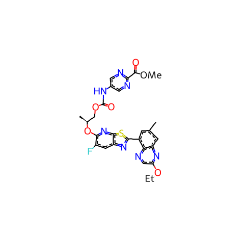 CCOc1cnc2c(-c3nc4cc(F)c(O[C@@H](C)COC(=O)Nc5cnc(C(=O)OC)nc5)nc4s3)cc(C)cc2n1